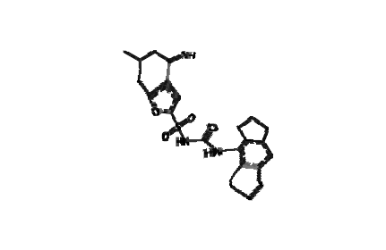 CC1CC(=N)c2cc(S(=O)(=O)NC(=O)Nc3c4c(cc5c3CCC5)CCC4)oc2C1